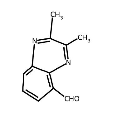 Cc1nc2cccc(C=O)c2nc1C